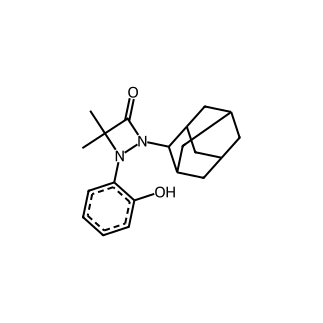 CC1(C)C(=O)N(C2C3CC4CC(C3)CC2C4)N1c1ccccc1O